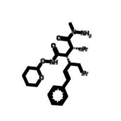 CCC[C@@H](C(=O)N(C)N)[C@@H](C(=O)NOC1CCCCO1)C(/C=C/c1ccccc1)CC(C)C